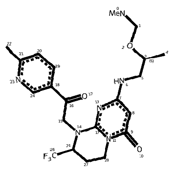 CNCO[C@@H](C)CNc1cc(=O)n2c(n1)N(CC(=O)c1ccc(C)nc1)C(C(F)(F)F)CC2